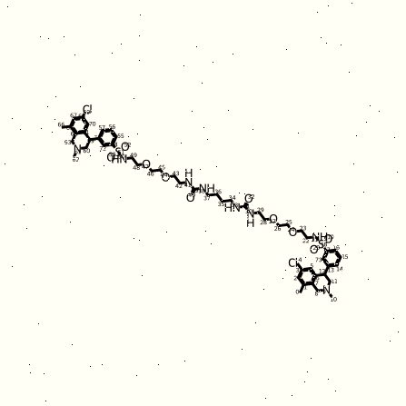 Cc1cc(Cl)cc2c1CN(C)CC2c1cccc(S(=O)(=O)NCCOCCOCCNC(=O)NCCCCNC(=O)NCCOCCOCCNS(=O)(=O)c2cccc(C3CN(C)Cc4c(C)cc(Cl)cc43)c2)c1